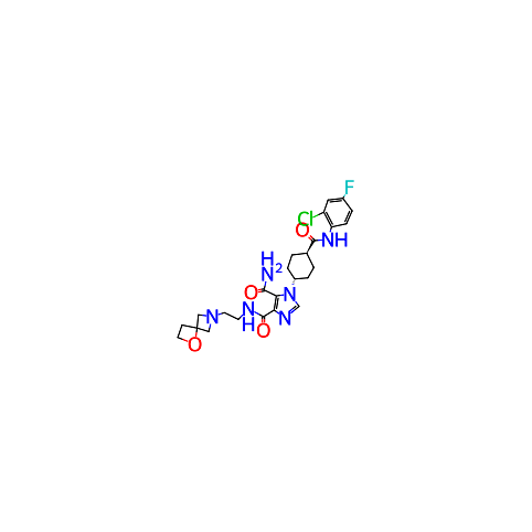 NC(=O)c1c(C(=O)NCCN2CC3(CCO3)C2)ncn1[C@H]1CC[C@H](C(=O)Nc2ccc(F)cc2Cl)CC1